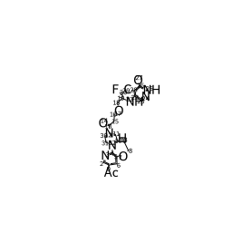 CC(=O)c1cnc2c(c1)OCC[C@@H]1CN(C(=O)CCOC[C@H](C)Nc3cn[nH]c(=O)c3C(F)(F)F)CCN21